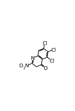 O=C1CC([N+](=O)[O-])=Nc2cc(Cl)c(Cl)c(Cl)c21